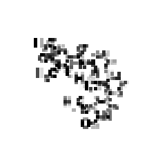 COc1cc(-c2cccc(-c3cccc(NC(=O)c4cn(C)c(=O)n(C)c4=O)c3C)c2C)cnc1C=O